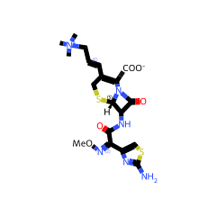 CO/N=C(\C(=O)NC1C(=O)N2C(C(=O)[O-])=C(/C=C/C[N+](C)(C)C)CS[C@@H]12)c1csc(N)n1